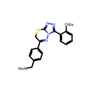 CNCc1ccc(C2=Nn3c(nnc3-c3ccccc3OC)SC2)cc1